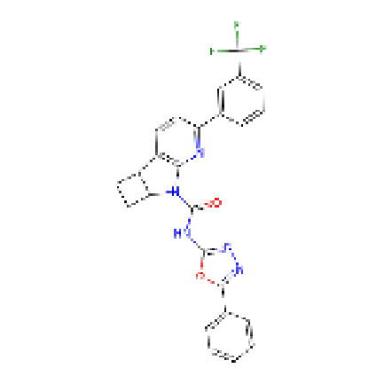 O=C(Nc1nnc(-c2ccccc2)o1)N1c2nc(-c3cccc(C(F)(F)F)c3)ccc2C2CCC21